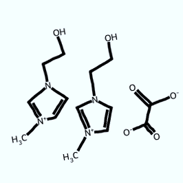 C[n+]1ccn(CCO)c1.C[n+]1ccn(CCO)c1.O=C([O-])C(=O)[O-]